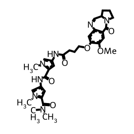 COc1cc2c(cc1OCCCC(=O)Nc1cc(C(=O)Nc3cc(C(=O)N(C)C)n(C)c3)n(C)c1)N=CC1CCCN1C2=O